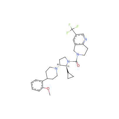 COc1ccccc1C1CCN([C@@H]2CCN(C(=O)N3CCc4ncc(C(F)(F)F)cc4C3)[C@H]2C2CC2)CC1